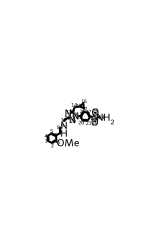 COc1ccccc1CCNCc1nc(CC2CC2)n(-c2ccc(S(N)(=O)=O)cc2)n1